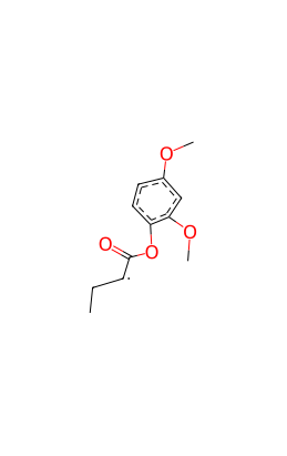 CC[CH]C(=O)Oc1ccc(OC)cc1OC